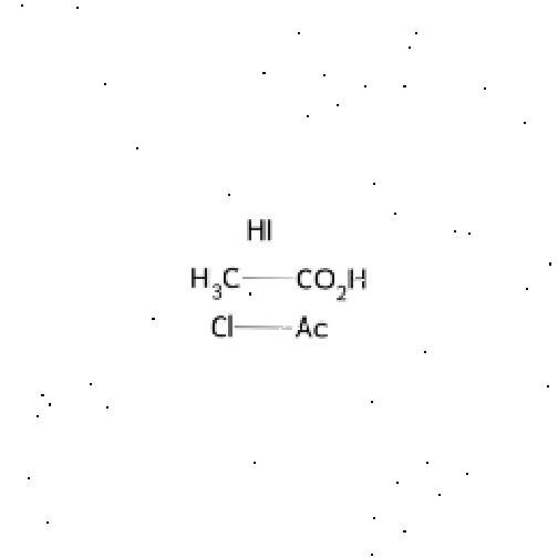 CC(=O)Cl.CC(=O)O.I